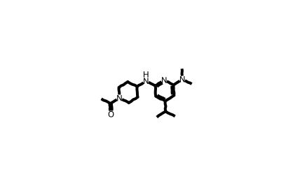 CC(=O)N1CCC(Nc2cc(C(C)C)cc(N(C)C)n2)CC1